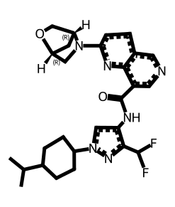 CC(C)C1CCC(n2cc(NC(=O)c3cncc4ccc(N5C[C@H]6C[C@@H]5CO6)nc34)c(C(F)F)n2)CC1